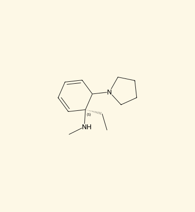 CC[C@]1(NC)C=CC=CC1N1CCCC1